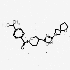 CC(C)c1ccc(C(=O)N2CCC(c3nc(N4CC5(CCCO5)C4)no3)CC2)cc1